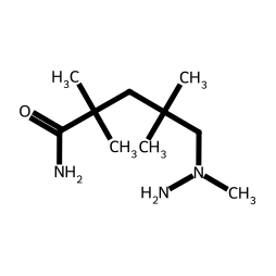 CN(N)CC(C)(C)CC(C)(C)C(N)=O